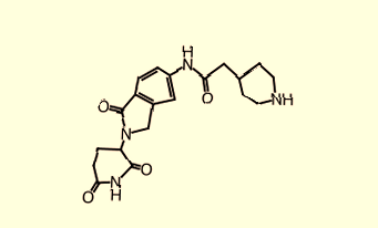 O=C1CCC(N2Cc3cc(NC(=O)CC4CCNCC4)ccc3C2=O)C(=O)N1